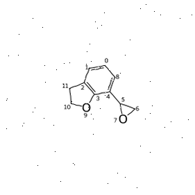 c1cc2c(c(C3CO3)c1)OCC2